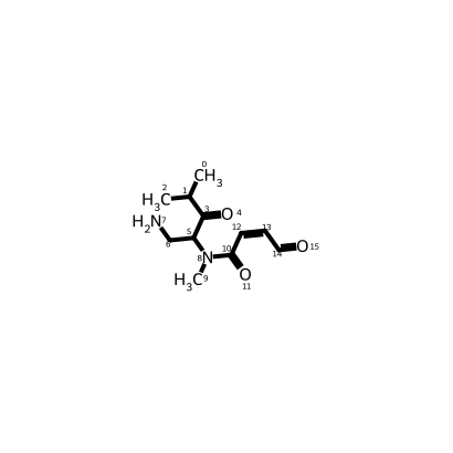 CC(C)C(=O)C(CN)N(C)C(=O)/C=C\C=O